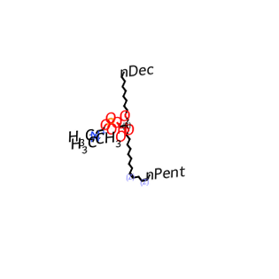 CCCCC/C=C\C/C=C\CCCCCCCC(=O)O[C@H](COCCCCCCCCCCCCCCCCCC)COP(=O)(O)OCC[N+](C)(C)C